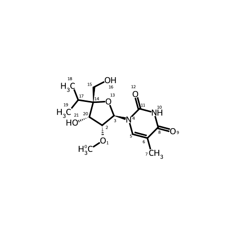 CO[C@H]1[C@H](n2cc(C)c(=O)[nH]c2=O)O[C@@](CO)(C(C)C)[C@H]1O